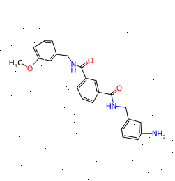 COc1cccc(CNC(=O)c2cccc(C(=O)NCc3cccc(N)c3)c2)c1